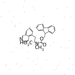 CN(C(=O)OCC1c2ccccc2-c2ccccc21)[C@@H](Cc1cccc2cnccc12)C(=O)O